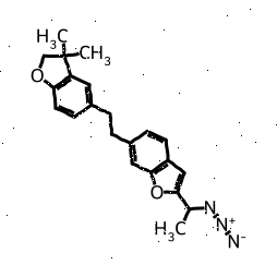 CC(N=[N+]=[N-])c1cc2ccc(CCc3ccc4c(c3)C(C)(C)CO4)cc2o1